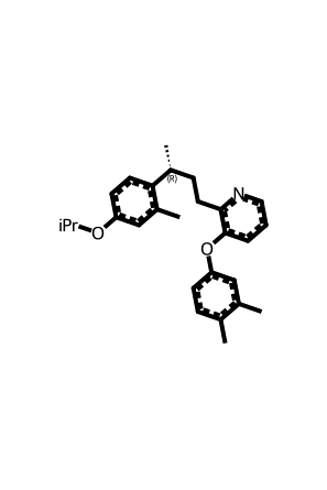 Cc1ccc(Oc2cccnc2CC[C@@H](C)c2ccc(OC(C)C)cc2C)cc1C